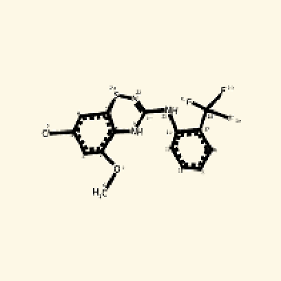 COc1cc(Cl)cc2c1NC(Nc1ccccc1C(F)(F)F)=NS2